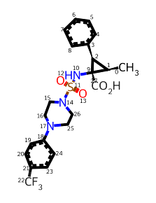 C[C@@H]1[C@H](c2ccccc2)[C@]1(NS(=O)(=O)N1CCN(c2ccc(C(F)(F)F)cc2)CC1)C(=O)O